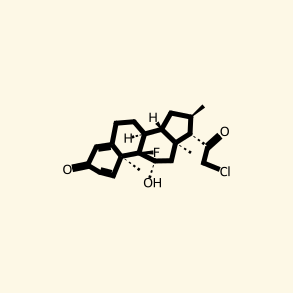 C[C@@H]1C[C@H]2[C@@H]3CCC4=CC(=O)C=C[C@]4(C)[C@@]3(F)[C@@H](O)C[C@]2(C)[C@H]1C(=O)CCl